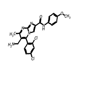 COc1ccc(NC(=O)c2cn3c(-c4ccc(Cl)cc4Cl)c(CN)c(C)nc3n2)cc1